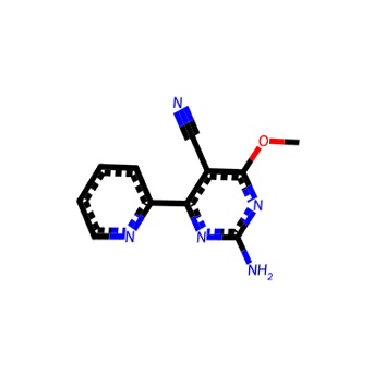 COc1nc(N)nc(-c2ccccn2)c1C#N